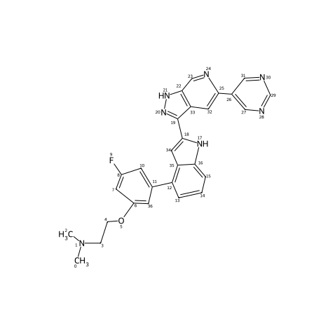 CN(C)CCOc1cc(F)cc(-c2cccc3[nH]c(-c4n[nH]c5cnc(-c6cncnc6)cc45)cc23)c1